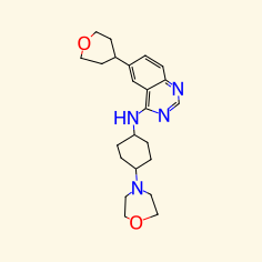 c1nc(NC2CCC(N3CCOCC3)CC2)c2cc(C3CCOCC3)ccc2n1